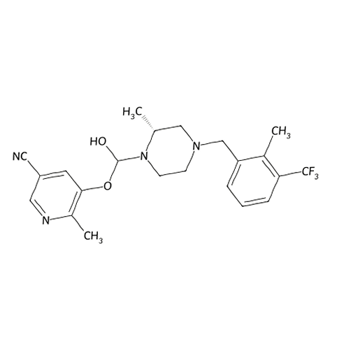 Cc1ncc(C#N)cc1OC(O)N1CCN(Cc2cccc(C(F)(F)F)c2C)C[C@H]1C